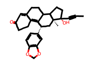 CC#C[C@]1(O)CCC2C3CCC4=CC(=O)CCC4=C3[C@@H](c3ccc4c(c3)OCO4)C[C@@]21C